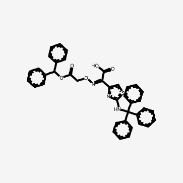 O=C(CON=C(C(=O)O)c1csc(NC(c2ccccc2)(c2ccccc2)c2ccccc2)n1)OC(c1ccccc1)c1ccccc1